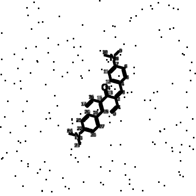 C=CC(=Cc1ccc(N(C)C)cc1)C(=O)C(C=C)=Cc1ccc(N(C)C)cc1